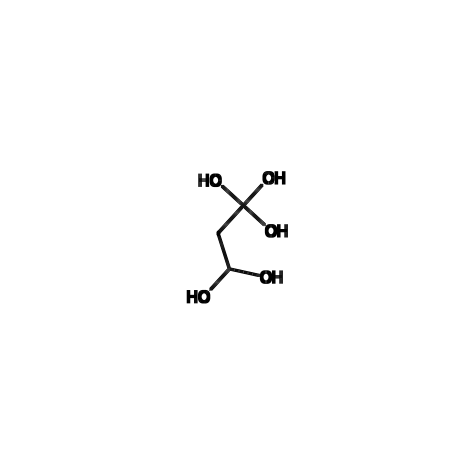 OC(O)CC(O)(O)O